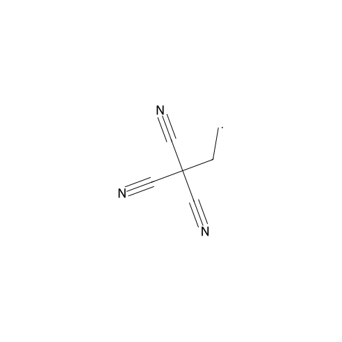 [CH2]CC(C#N)(C#N)C#N